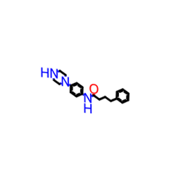 O=C(CCCc1ccccc1)Nc1ccc(N2CCNCC2)cc1